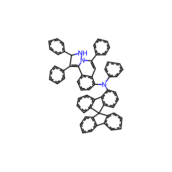 C1=C(c2ccccc2)N2NC(c3ccccc3)C(c3ccccc3)=C2c2cccc(N(c3ccccc3)c3cccc4c3-c3ccccc3C43c4ccccc4-c4ccccc43)c21